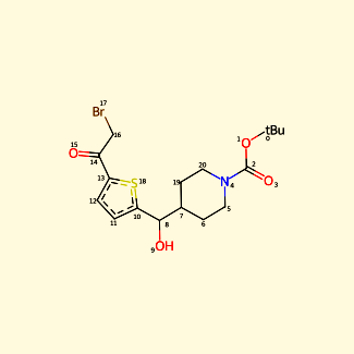 CC(C)(C)OC(=O)N1CCC(C(O)c2ccc(C(=O)CBr)s2)CC1